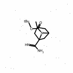 CC1CC2CC(C(=N)N)(C1)N2C(=O)OC(C)(C)C